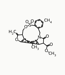 C.C=C1Oc2c3cc(C)c4c2C(C(=O)OC)C(=O)N4Cc2ccccc2S(=O)(=O)OCC13